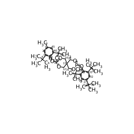 Cc1cc(C(C)(C)C)c(OP2OCC3(CO2)COP(Oc2c(C(C)(C)C)cc(C(C)(C)C)cc2C(C)(C)C)OC3)c(C(C)(C)C)c1